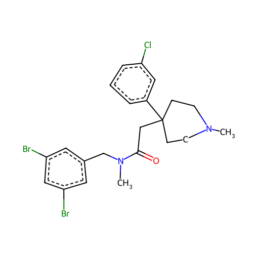 CN1CCC(CC(=O)N(C)Cc2cc(Br)cc(Br)c2)(c2cccc(Cl)c2)CC1